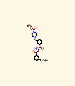 COc1cccc(C(=O)CNC(=O)c2cccc(CN3CCN(C(=O)OC(C)(C)C)CC3)c2)c1